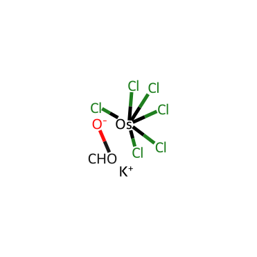 O=C[O-].[Cl][Os]([Cl])([Cl])([Cl])([Cl])[Cl].[K+]